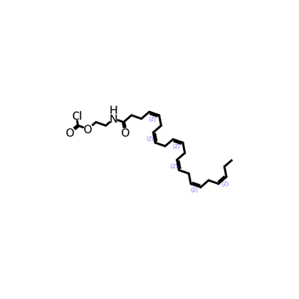 CC/C=C\C/C=C\C/C=C\C/C=C\C/C=C\C/C=C\CCC(=O)NCCOC(=O)Cl